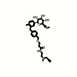 C#CCN(C)CCNC(=O)CCOCc1ccc(Cc2cc([C@@H]3OC(C#SC)[C@@H](O)[C@H](O)[C@H]3O)ccc2C)cc1